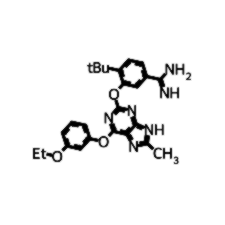 CCOc1cccc(Oc2nc(Oc3cc(C(=N)N)ccc3C(C)(C)C)nc3[nH]c(C)nc23)c1